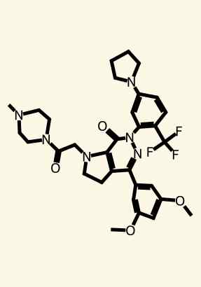 COc1cc(OC)cc(-c2nn(-c3cc(N4CCCC4)ccc3C(F)(F)F)c(=O)c3c2CCN3CC(=O)N2CCN(C)CC2)c1